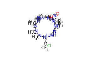 CC[C@H](C)[C@H]1CN[C@@H](CC(C)C)C(C)NCC2[C@@H](C(=O)N3CCOCC3)C(C)N2[C@@H](C(C)C)C(C)NC2(CCCC2)CNCCNC=CC(CCc2ccc(C(F)(F)F)c(Cl)c2)=NC=CN(C)C=C(CC2CCCCC2)N(C)C=C2CCCN2[C@@H](C)C(C)N1